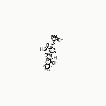 Cn1nnnc1SCC1=C(C(=O)O)N2C(=O)[C@@H](NC(=O)[C@H](O)c3ccccc3)C2SC1